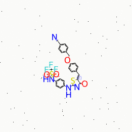 N#Cc1ccc(COc2ccc(/C=C3\SC(Nc4ccc(NS(=O)(=O)C(F)(F)F)cc4)=NC3=O)cc2)cc1